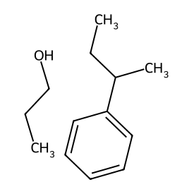 CCC(C)c1ccccc1.CCCO